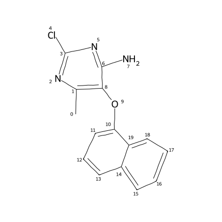 Cc1nc(Cl)nc(N)c1Oc1cccc2ccccc12